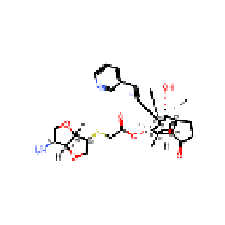 C[C@@H]1CC[C@@]23CCC(=O)[C@H]2[C@]1(C)[C@H](OC(=O)CS[C@H]1CO[C@H]2[C@@H]1OC[C@@H]2N)C[C@](C)(/C=C/c1cccnc1)[C@@H](O)[C@@H]3C